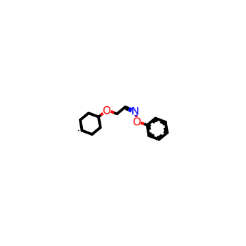 [CH]1CCC(OC/C=N\Oc2ccccc2)CC1